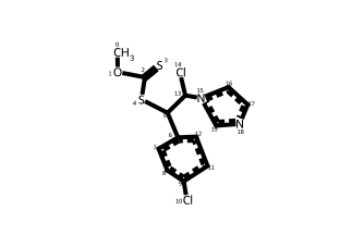 COC(=S)SC(c1ccc(Cl)cc1)C(Cl)n1ccnc1